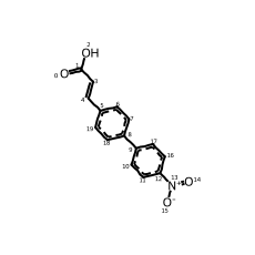 O=C(O)/C=C/c1ccc(-c2ccc([N+](=O)[O-])cc2)cc1